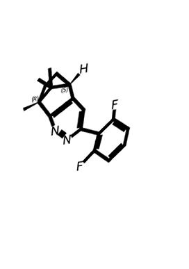 CC1(C)[C@@H]2CC[C@@]1(C)c1nnc(-c3c(F)cccc3F)cc12